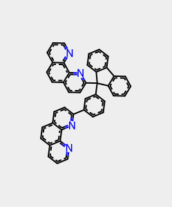 c1cc(-c2ccc3ccc4cccnc4c3n2)cc(C2(c3ccc4ccc5cccnc5c4n3)c3ccccc3-c3ccccc32)c1